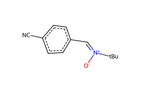 CC(C)(C)[N+]([O-])=Cc1ccc(C#N)cc1